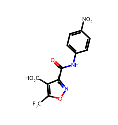 O=C(Nc1ccc([N+](=O)[O-])cc1)c1noc(C(F)(F)F)c1C(=O)O